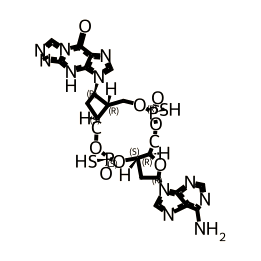 Nc1ncnc2c1ncn2[C@H]1C[C@@H]2O[P@@](=O)(S)OC[C@H]3C[C@@H](n4cnc5c(=O)n6cnnc6[nH]c54)[C@@H]3CO[P@@](=O)(S)OC[C@H]2O1